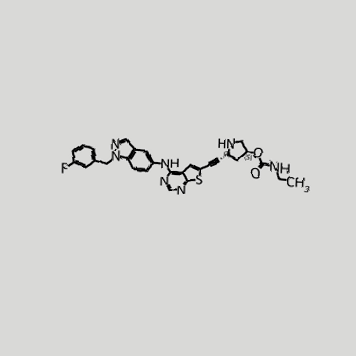 CCNC(=O)O[C@@H]1CN[C@@H](C#Cc2cc3c(Nc4ccc5c(cnn5Cc5cccc(F)c5)c4)ncnc3s2)C1